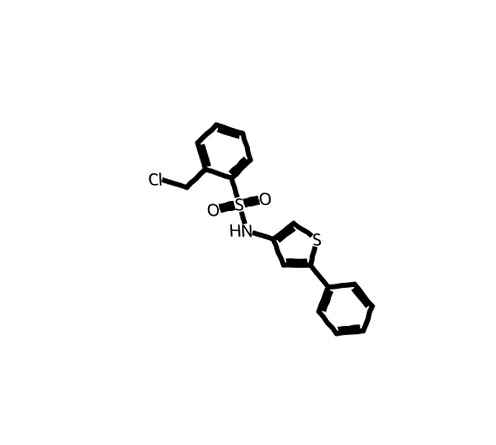 O=S(=O)(Nc1csc(-c2ccccc2)c1)c1ccccc1CCl